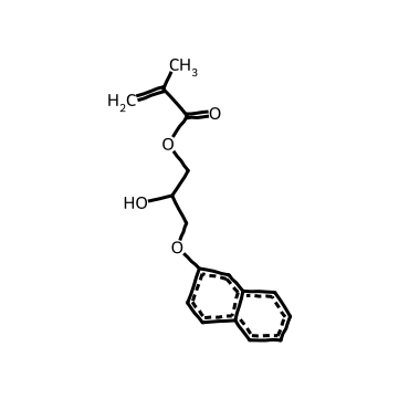 C=C(C)C(=O)OCC(O)COc1ccc2ccccc2c1